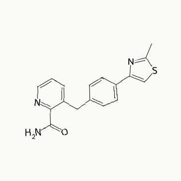 Cc1nc(-c2ccc(Cc3cccnc3C(N)=O)cc2)cs1